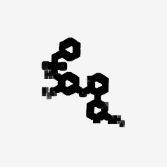 Nc1nccc(-c2cccnc2Oc2ccc(NS(=O)(=O)Cc3ccccc3)c(C(F)(F)F)c2)n1